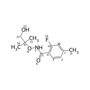 Cc1ccc(C(=O)NOC(C)(C)CO)c(F)c1